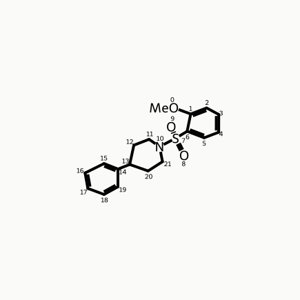 COc1ccccc1S(=O)(=O)N1CCC(c2ccccc2)CC1